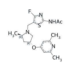 CC(=O)Nc1nc(F)c(CN2C[C@H](Oc3cc(C)nc(C)c3)C[C@H]2C)s1